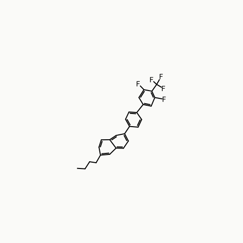 CCCCc1ccc2cc(-c3ccc(-c4cc(F)c(C(F)(F)F)c(F)c4)cc3)ccc2c1